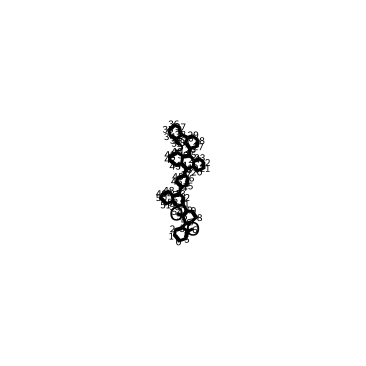 c1ccc2c(c1)oc1ccc3c4cc(-c5ccc(-c6c7ccccc7c(-c7cccc8c7sc7ccccc78)c7ccccc67)cc5)c5ccccc5c4oc3c12